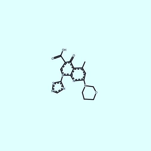 Cc1cc(N2CCCOC2)nc2c1c(=O)c(C(=O)O)cn2-c1ncns1